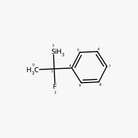 CC(F)([SiH3])c1ccccc1